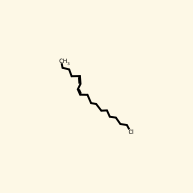 CCCC/C=C\C=C/CCCCCCCCCCl